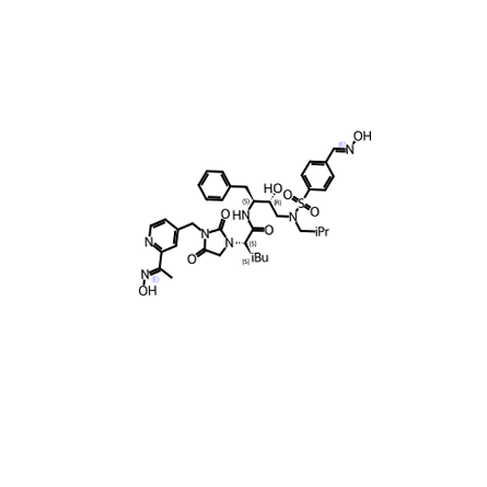 CC[C@H](C)[C@@H](C(=O)N[C@@H](Cc1ccccc1)[C@H](O)CN(CC(C)C)S(=O)(=O)c1ccc(/C=N/O)cc1)N1CC(=O)N(Cc2ccnc(/C(C)=N/O)c2)C1=O